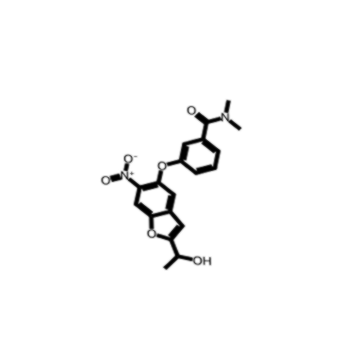 CC(O)c1cc2cc(Oc3cccc(C(=O)N(C)C)c3)c([N+](=O)[O-])cc2o1